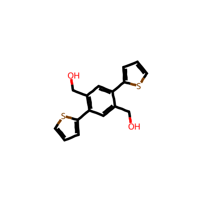 OCc1cc(-c2cccs2)c(CO)cc1-c1cccs1